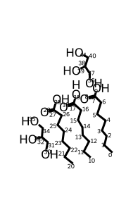 CCCCCCCC(=O)O.CCCCCCCC(=O)O.CCCCCCCC(=O)O.OCC(O)CO.OCC(O)CO